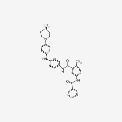 Cc1ccc(NC(=O)c2ccccc2)cc1C(=O)Nc1cnc(Nc2ccc(N3CCN(C)CC3)cc2)nc1